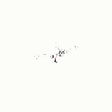 COCCNS(=O)(=O)[C@H]1CNCCC(CC(=O)NO)(c2ccc(-c3ccc(-c4cnco4)cc3)s2)S1(=O)=O